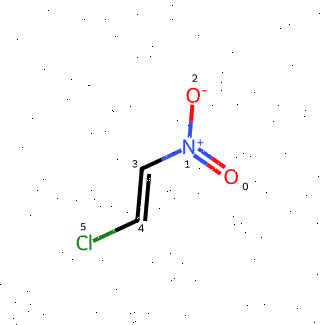 O=[N+]([O-])C=CCl